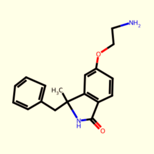 CC1(Cc2ccccc2)NC(=O)c2ccc(OCCN)cc21